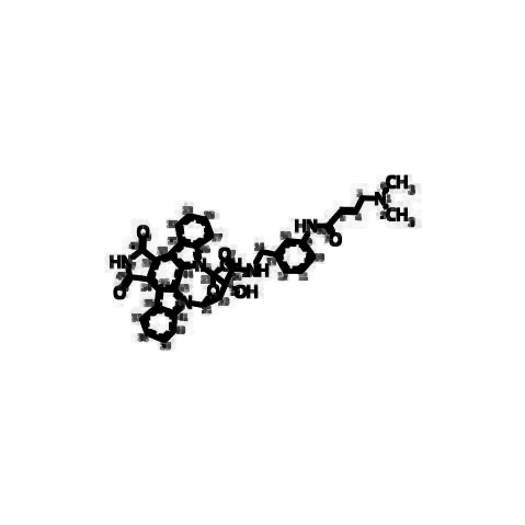 CN(C)C/C=C/C(=O)Nc1cccc(CNC(=O)[C@@]2(O)CC3O[C@]2(C)n2c4ccccc4c4c5c(c6c7ccccc7n3c6c42)C(=O)NC5=O)c1